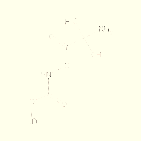 CC(C)OC(=O)NOC(=O)C(C)(C)N